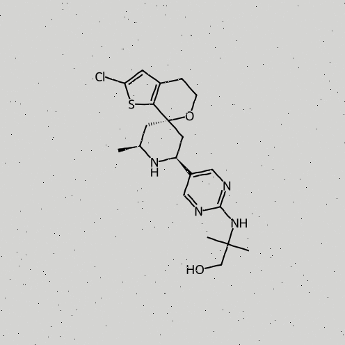 C[C@H]1C[C@@]2(C[C@@H](c3cnc(NC(C)(C)CO)nc3)N1)OCCc1cc(Cl)sc12